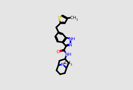 Cc1csc(Cc2ccc3c(C(=O)NC4CC5CCCC(C4)N5C)n[nH]c3c2)c1